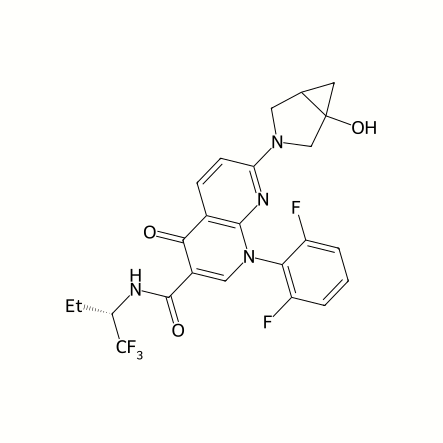 CC[C@H](NC(=O)c1cn(-c2c(F)cccc2F)c2nc(N3CC4CC4(O)C3)ccc2c1=O)C(F)(F)F